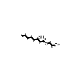 CCCCCCCCOCCO.N